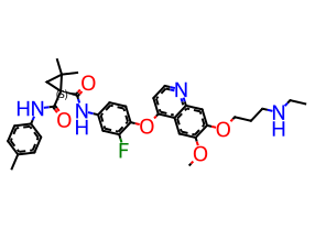 CCNCCCOc1cc2nccc(Oc3ccc(NC(=O)[C@@]4(C(=O)Nc5ccc(C)cc5)CC4(C)C)cc3F)c2cc1OC